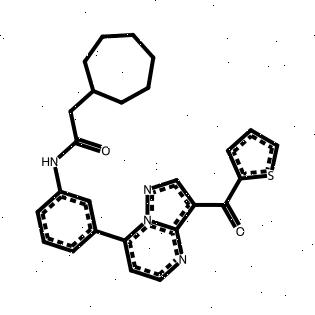 O=C(CC1CCCCCC1)Nc1cccc(-c2ccnc3c(C(=O)c4cccs4)cnn23)c1